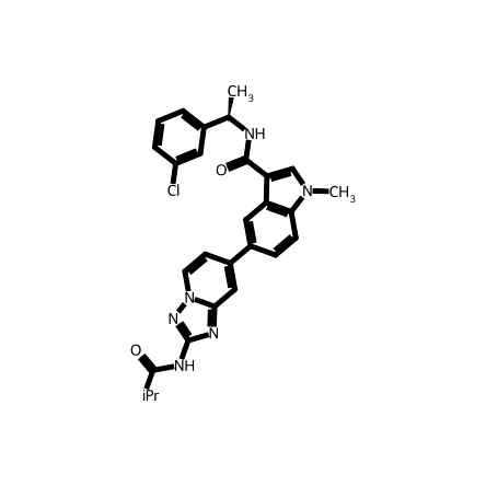 CC(C)C(=O)Nc1nc2cc(-c3ccc4c(c3)c(C(=O)N[C@H](C)c3cccc(Cl)c3)cn4C)ccn2n1